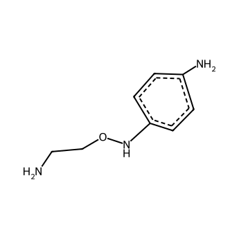 NCCONc1ccc(N)cc1